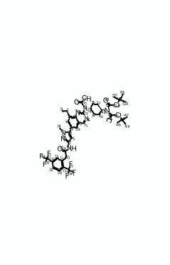 CCc1cc(-c2cc(NC(=O)Cc3cc(C(F)(F)F)ccc3C(F)(F)F)nn2C)cc2cnc(N(C(=O)O)[C@H]3CC[C@H](N(C(=O)OC(C)(C)C)C(=O)OC(C)(C)C)CC3)nc12